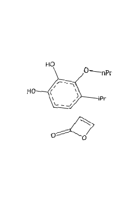 CCCOc1c(C(C)C)ccc(O)c1O.O=C1C=CO1